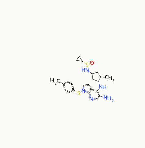 Cc1ccc(Sn2ccc3c(NC4CC(N[S+]([O-])C5CC5)CC4C)c(N)cnc32)cc1